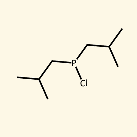 CC(C)CP(Cl)CC(C)C